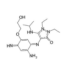 CCn1c(NC(C)C)c(N=C2C=C(OCCO)C(=N)C=C2N)c(=O)n1CC